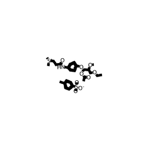 CCOCC(OC)C(OC(C)=O)Oc1ccc(NC(=O)CC[S+](C)C)cc1.Cc1ccc(S(=O)(=O)[O-])cc1